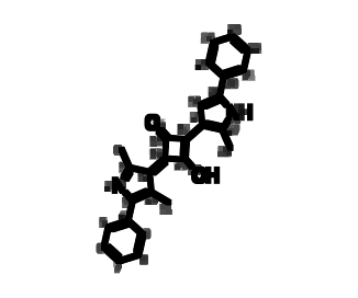 CC1=NC(c2ccccc2)=C(C)/C1=C1/C(=O)C(c2cc(-c3ccccc3)[nH]c2C)=C1O